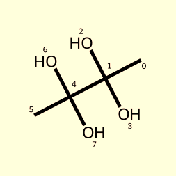 CC(O)(O)C(C)(O)O